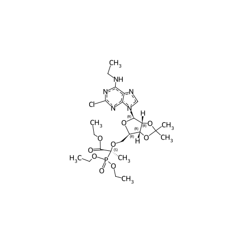 CCNc1nc(Cl)nc2c1ncn2[C@@H]1O[C@H](CO[C@](C)(C(=O)OCC)P(=O)(OCC)OCC)[C@H]2OC(C)(C)O[C@H]21